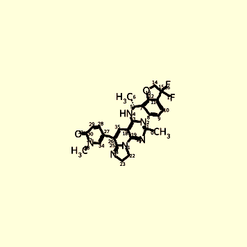 Cc1nc(N[C@H](C)c2cccc3c2OCC3(F)F)c2c(n1)N1CCN=C1C(c1ccc(=O)n(C)c1)=C2